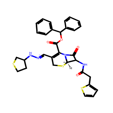 O=C(Cc1cccs1)NC1C(=O)N2C(C(=O)OC(c3ccccc3)c3ccccc3)=C(/C=N/NC3CCSC3)CS[C@H]12